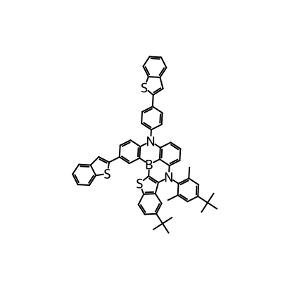 Cc1cc(C(C)(C)C)cc(C)c1N1c2cccc3c2B(c2cc(-c4cc5ccccc5s4)ccc2N3c2ccc(-c3cc4ccccc4s3)cc2)c2sc3ccc(C(C)(C)C)cc3c21